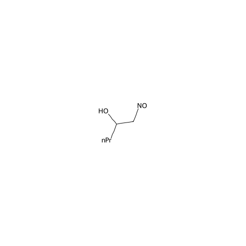 CCCC(O)CN=O